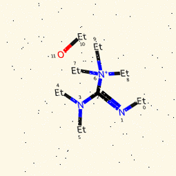 CCN=C(N(CC)CC)[N+](CC)(CC)CC.CC[O-]